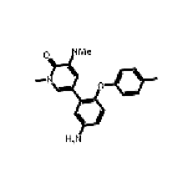 CNc1cc(-c2cc(N)ccc2Oc2ccc(C)cc2)cn(C)c1=O